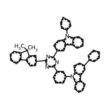 CC1(C)c2ccccc2-c2ccc(-c3nc(-c4cccc(-n5c6ccccc6c6cc(-c7ccccc7)ccc65)c4)nc(-c4ccc5c(c4)c4ccccc4n5-c4ccccc4)n3)cc21